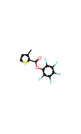 Cc1ccsc1C(=O)Oc1c(F)c(F)c(F)c(F)c1F